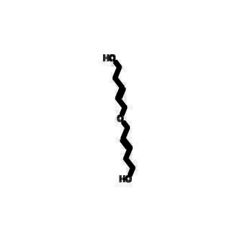 OCCC=CCOCC=CCCO